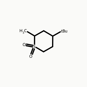 CC1CC(C(C)(C)C)CCS1(=O)=O